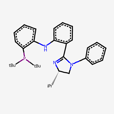 CC(C)[C@H]1CN(c2ccccc2)C(c2ccccc2Nc2ccccc2P(C(C)(C)C)C(C)(C)C)=N1